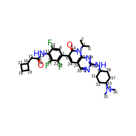 CC(C)n1c(=O)c(-c2cc(F)c(NC(=O)CC3CCC3)c(F)c2F)cc2cnc(NC3CCC(N(C)C)CC3)nc21